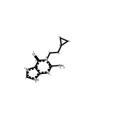 Nc1nc2[nH]cnc2c(=O)n1CCC1CC1